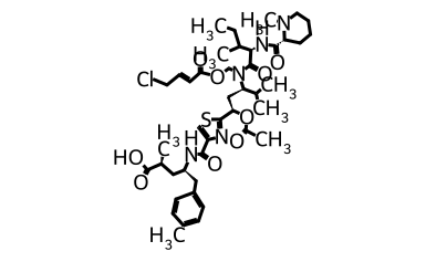 CCC(C)[C@H](NC(=O)[C@H]1CCCCN1C)C(=O)N(COC(=O)/C=C/CCl)[C@H](C[C@@H](OC(C)=O)c1nc(C(=O)N[C@@H](Cc2ccc(C)cc2)C[C@H](C)C(=O)O)cs1)C(C)C